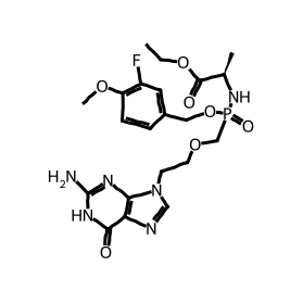 CCOC(=O)[C@@H](C)NP(=O)(COCCn1cnc2c(=O)[nH]c(N)nc21)OCc1ccc(OC)c(F)c1